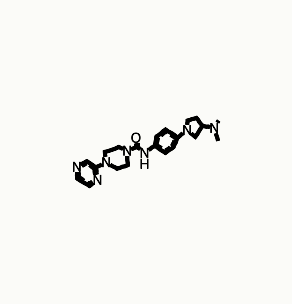 CN(C)C1CCN(c2ccc(NC(=O)N3CCN(c4cnccn4)CC3)cc2)C1